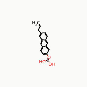 C=CCc1ccc2cc3cc(OB(O)O)ccc3cc2c1